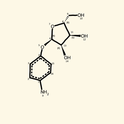 Nc1ccc(O[C@H]2O[C@H](CO)[C@@H](O)[C@H]2O)cc1